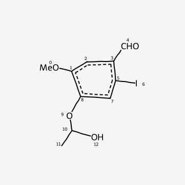 COc1cc(C=O)c(I)cc1OC(C)O